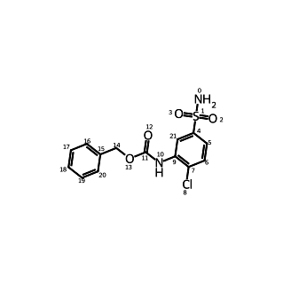 NS(=O)(=O)c1ccc(Cl)c(NC(=O)OCc2ccccc2)c1